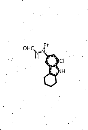 CCN(NC=O)c1ccc2[nH]c3c(c2c1)CCCC3.Cl